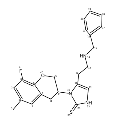 Cc1cc(F)c2c(c1)CC(n1c(CCNCc3ccccc3)c[nH]c1=S)CO2